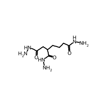 NNC(=O)CCCC(CC(=O)NN)C(=O)NN